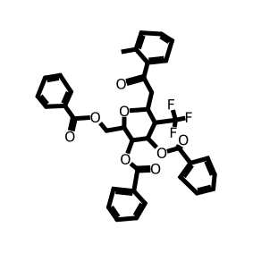 Cc1ccccc1C(=O)CC1OC(COC(=O)c2ccccc2)C(OC(=O)c2ccccc2)C(OC(=O)c2ccccc2)C1C(F)(F)F